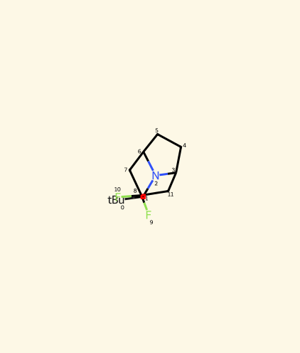 CC(C)(C)CN1C2CCC1CC(F)(F)C2